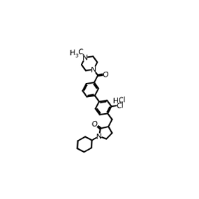 CN1CCN(C(=O)c2cccc(-c3ccc(CC4CCN(C5CCCCC5)C4=O)c(Cl)c3)c2)CC1.Cl